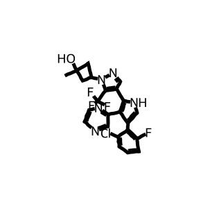 CC1(O)CC(n2ncc(-c3[nH]cc(-c4c(F)cccc4Cl)c3-c3cnccn3)c2C(F)(F)F)C1